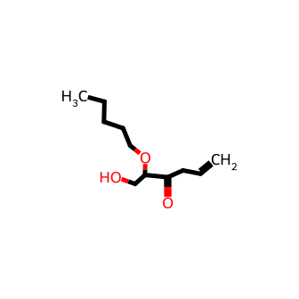 C=CCC(=O)C(CO)OCCCCC